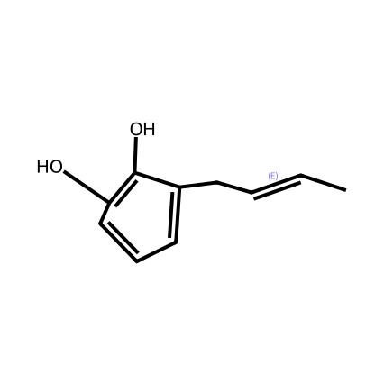 C/C=C/Cc1cccc(O)c1O